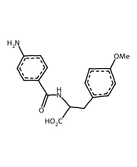 COc1ccc(CC(NC(=O)c2ccc(N)cc2)C(=O)O)cc1